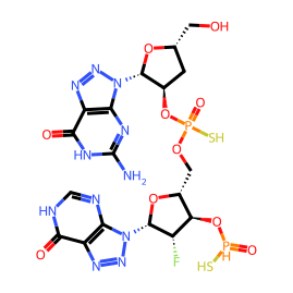 Nc1nc2c(nnn2[C@@H]2O[C@H](CO)C[C@H]2OP(=O)(S)OC[C@H]2O[C@@H](n3nnc4c(=O)[nH]cnc43)[C@@H](F)[C@@H]2O[PH](=O)S)c(=O)[nH]1